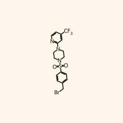 O=S(=O)(c1ccc(CBr)cc1)N1CCN(c2cc(C(F)(F)F)ccn2)CC1